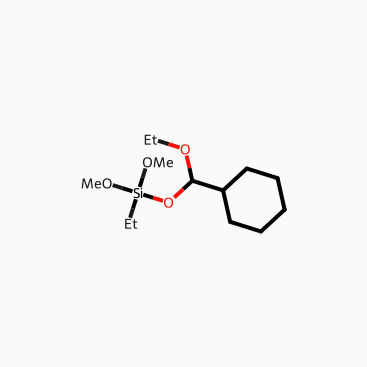 CCOC(O[Si](CC)(OC)OC)C1CCCCC1